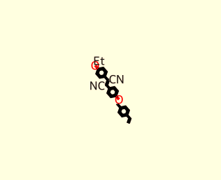 C=Cc1ccc(COc2ccc(/C(C#N)=C(\C#N)c3ccc(OCC)cc3)cc2)cc1